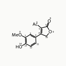 COc1cc(C2=C(C(C)=O)C(=O)OC2)ccc1O